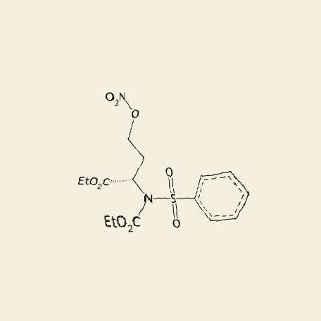 CCOC(=O)[C@H](CCO[N+](=O)[O-])N(C(=O)OCC)S(=O)(=O)c1ccccc1